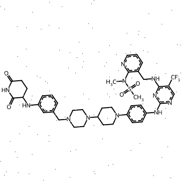 CN(c1ncccc1CNc1nc(Nc2ccc(N3CCC(N4CCN(Cc5cccc(NC6CCC(=O)NC6=O)c5)CC4)CC3)cc2)ncc1C(F)(F)F)S(C)(=O)=O